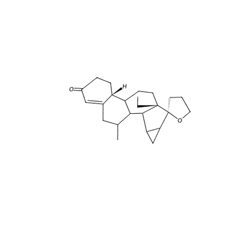 CC[C@]12CCC3C(C(C)CC4=CC(=O)CC[C@@H]43)C1C1CC1[C@@]21CCCO1